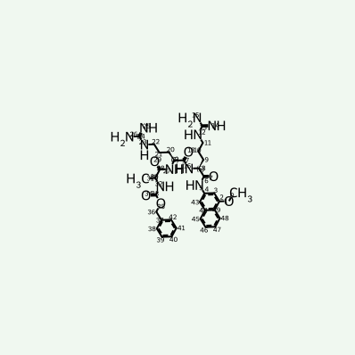 COc1cc(NC(=O)[C@H](CCCNC(=N)N)NC(=O)[C@H](CCCNC(=N)N)NC(=O)[C@H](C)NC(=O)OCc2ccccc2)cc2ccccc12